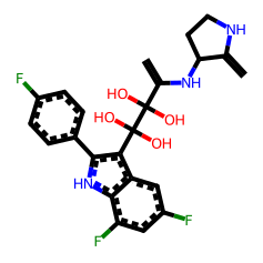 C=C1NCCC1NC(=C)C(O)(O)C(O)(O)c1c(-c2ccc(F)cc2)[nH]c2c(F)cc(F)cc12